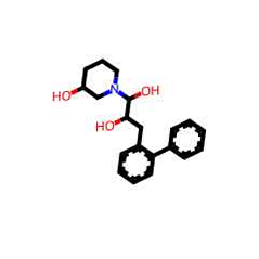 OC1CCCN(C(O)C(O)Cc2ccccc2-c2ccccc2)C1